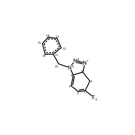 FC1=CC=C2C(C1)N=NN2Cc1ccccc1